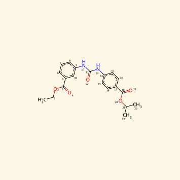 CCOC(=O)c1cccc(NC(=O)Nc2ccc(C(=O)OC(C)C)cc2)c1